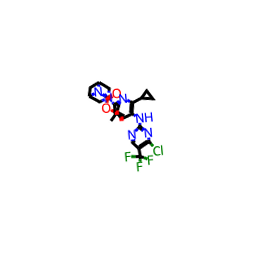 CC(C)(C)OC(=O)N1C2CC1CN(c1ccc(Nc3ncc(C(F)(F)F)c(Cl)n3)c(C3CC3)n1)C2